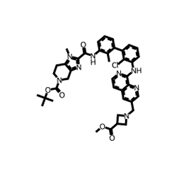 COC(=O)C1CN(Cc2cnc3c(Nc4cccc(-c5cccc(NC(=O)c6nc7c(n6C)CCN(C(=O)OC(C)(C)C)C7)c5C)c4Cl)nccc3c2)C1